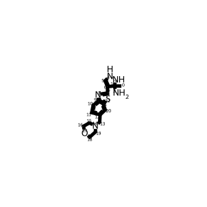 CC1(N)NNC=C1c1nc2ccc(CN3CCOCC3)cc2s1